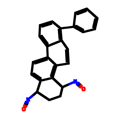 O=NC1CCC(N=O)c2c1ccc1c2ccc2c(-c3ccccc3)cccc21